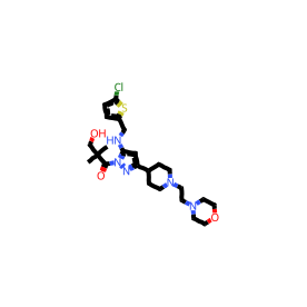 CC(C)(CO)C(=O)n1nc(C2CCN(CCN3CCOCC3)CC2)cc1NCc1ccc(Cl)s1